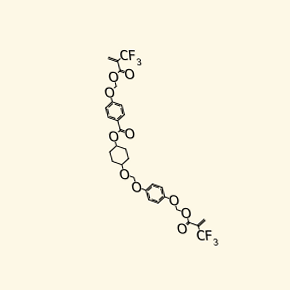 C=C(C(=O)OCOc1ccc(OCOC2CCC(OC(=O)c3ccc(OCOC(=O)C(=C)C(F)(F)F)cc3)CC2)cc1)C(F)(F)F